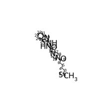 CC(=S)CCCCC(=O)N1CCN(CC(=O)NNc2nc3ccccc3s2)CC1